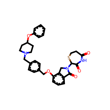 O=C1CCSC(N2Cc3c(OCc4ccc(CN5CCC(Oc6ccccc6)CC5)cc4)cccc3C2=O)C(=O)N1